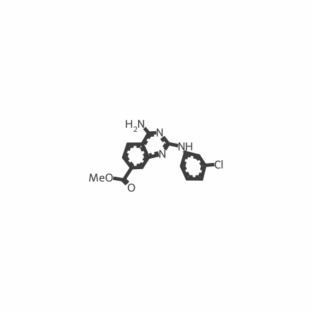 COC(=O)c1ccc2c(N)nc(Nc3cccc(Cl)c3)nc2c1